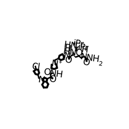 CC(C)N[C@H](C(=O)N[C@@H](CCCNC(N)=O)C(=O)Nc1ccc(C[n+]2ccc(NC(=O)C(=O)c3cn(Cc4ccc(Cl)cc4)c4ccccc34)cc2)cc1)C(C)C